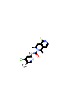 CC1c2ccnc(F)c2C[C@H](C)N1C(=O)Nc1cc(Cl)c(C(F)(F)F)cn1